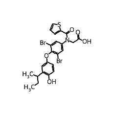 CCC(C)c1cc(Oc2c(Br)cc(N(CC(=O)O)C(=O)c3cccs3)cc2Br)ccc1O